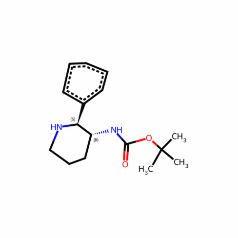 CC(C)(C)OC(=O)N[C@@H]1CCCN[C@H]1c1ccccc1